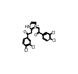 O=C(Cc1[nH]cc[n+]1CC(=O)c1ccc(Cl)c(Cl)c1)c1ccc(Cl)c(Cl)c1